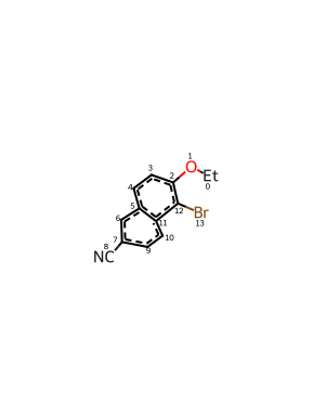 CCOc1ccc2cc(C#N)ccc2c1Br